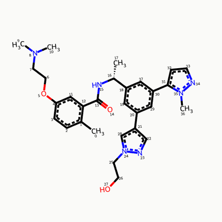 Cc1ccc(OCCN(C)C)cc1C(=O)N[C@H](C)c1cc(-c2cnn(CCO)c2)cc(-c2ccnn2C)c1